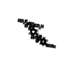 CC(=O)Nc1ccc(S(=O)(=O)NC[C@H]2Cc3c(sc(NC(=O)C(=O)O)c3C(=O)O)CN2)cc1